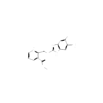 COC(=O)c1cccnc1CSc1nc2cc(Cl)c(Cl)cc2[nH]1